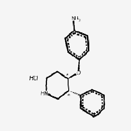 Cl.Nc1ccc(O[C@@H]2CCNC[C@H]2c2ccccc2)cc1